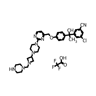 CC(C)(c1ccc(OCc2ccnc(N3CCN(C4CN(CN5CCNCC5)C4)CC3)n2)cc1)c1cc(Cl)cc(C#N)c1.O=C(O)C(F)(F)F